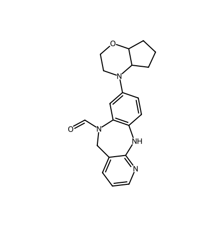 O=CN1Cc2cccnc2Nc2ccc(N3CCOC4CCCC43)cc21